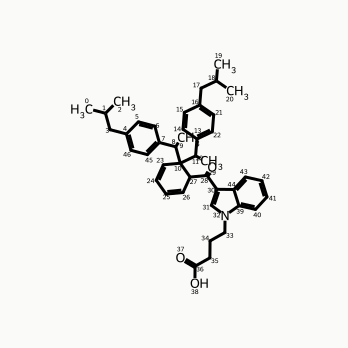 CC(C)Cc1ccc(C(C)C2(C(C)c3ccc(CC(C)C)cc3)C=CC=CC2C(=O)c2cn(CCCC(=O)O)c3ccccc23)cc1